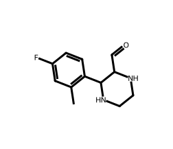 Cc1cc(F)ccc1C1NCCNC1C=O